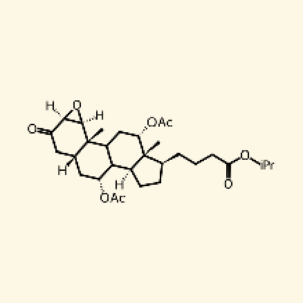 CC(=O)O[C@H]1CC2C([C@H](OC(C)=O)C[C@@H]3CC(=O)[C@H]4O[C@H]4[C@]23C)[C@@H]2CC[C@H](CCCC(=O)OC(C)C)[C@@]12C